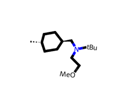 COCCN(C[C@H]1CC[C@H](C)CC1)C(C)(C)C